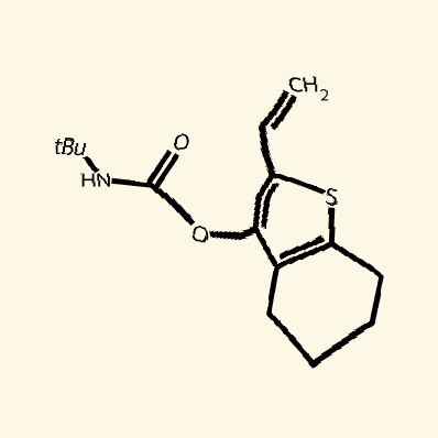 C=Cc1sc2c(c1OC(=O)NC(C)(C)C)CCCC2